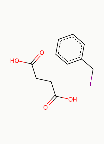 ICc1ccccc1.O=C(O)CCC(=O)O